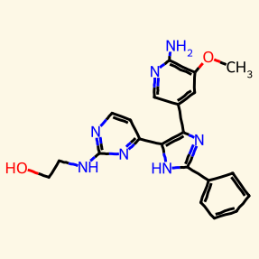 COc1cc(-c2nc(-c3ccccc3)[nH]c2-c2ccnc(NCCO)n2)cnc1N